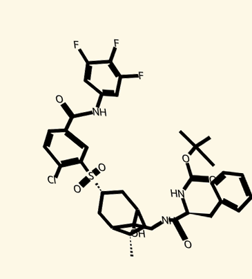 C[C@H]1CC2C[C@@H](S(=O)(=O)c3cc(C(=O)Nc4cc(F)c(F)c(F)c4)ccc3Cl)CC1[C@@]2(O)CNC(=O)[C@H](Cc1ccccc1)NC(=O)OC(C)(C)C